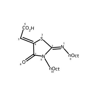 CCCCCCCC/N=C1/S/C(=C\C(=O)O)C(=O)N1CCCCCCCC